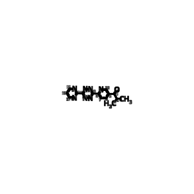 CC(C)C(=O)c1ccc(-c2nnc(-c3ncccn3)nn2)nc1